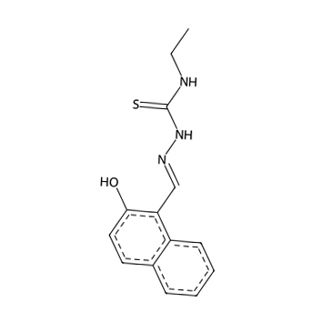 CCNC(=S)NN=Cc1c(O)ccc2ccccc12